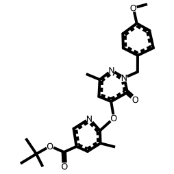 COc1ccc(Cn2nc(C)cc(Oc3ncc(C(=O)OC(C)(C)C)cc3C)c2=O)cc1